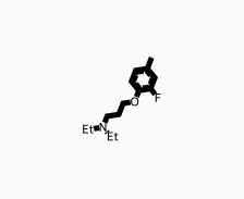 CCN(CC)CCCOc1ccc(C)cc1F